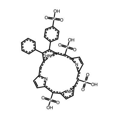 O=S(=O)(O)c1ccc(-c2c(-c3ccccc3)c3cc4nc(c(S(=O)(=O)O)c5ccc([nH]5)c(S(=O)(=O)O)c5nc(c(S(=O)(=O)O)c2[nH]3)C=C5)C=C4)cc1